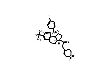 O=C(SC1CCS(=O)(=O)CC1)N1CC[C@]2(S(=O)(=O)c3ccc(F)cc3)c3ccc(C(F)(C(F)(F)F)C(F)(F)F)cc3CC[C@H]12